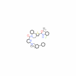 Cc1cccc(F)c1NC(=O)c1cc2c(s1)-c1ccccc1N(C(=O)c1cccc(N(C)Cc3cccc(-c4ccccc4)c3)n1)CC2